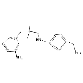 CC(C)(C)Cc1ccc(NCC(C)(C)Cc2cccc(N)c2)cc1